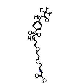 COC(=O)/C=C/COCCOCCNS(=O)(=O)c1ccc(NC(=O)C(F)(F)F)cc1